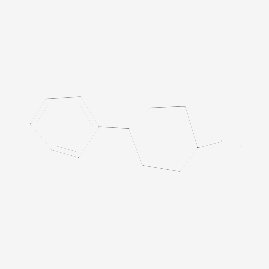 CC1CCC(c2cc[c]cc2)CC1